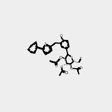 CC(=O)O[C@H]1[C@H](OC(C)=O)[C@@H](OC(C)=O)C(c2ccc(Cl)c(Cc3ccc(-c4ccccc4)s3)c2)O[C@@H]1CF